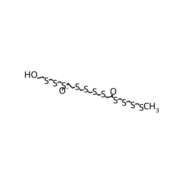 CSCSCSCSC(=O)CSCSCSCSCC[S+]([O-])CSCSCCO